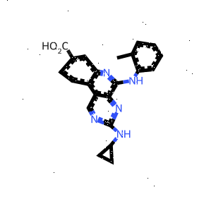 Cc1ccccc1Nc1nc2cc(C(=O)O)ccc2c2cnc(NC3CC3)nc12